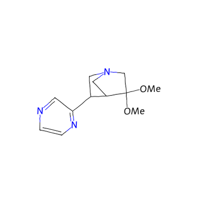 COC1(OC)CN2CC(c3cnccn3)C1C2